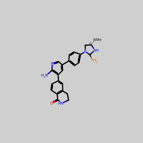 CN[C@H]1CN(c2ccc(-c3cnc(N)c(-c4ccc5c(c4)CCNC5=O)c3)cc2)C(P)N1